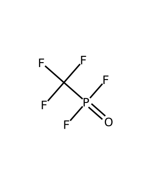 O=P(F)(F)C(F)(F)F